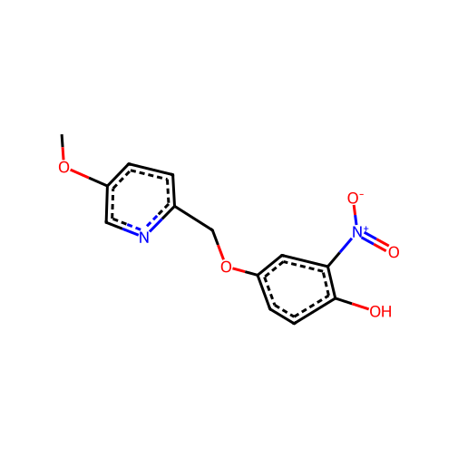 COc1ccc(COc2ccc(O)c([N+](=O)[O-])c2)nc1